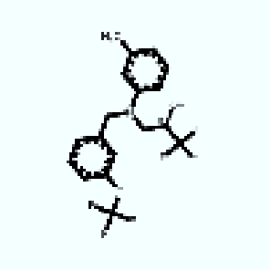 Cc1cccc(N(Cc2cccc(OC(F)(F)F)c2)C[C@@H](O)C(F)(F)F)c1